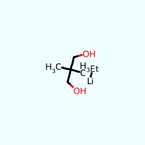 CC(C)(CO)CO.[Li][CH2]C